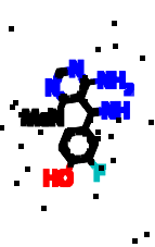 CNc1ncnc(N)c1C(=N)c1ccc(O)c(F)c1